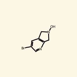 ON1Cc2cc(Br)cnc2C1